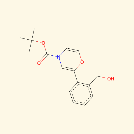 CC(C)(C)OC(=O)N1C=COC(c2ccccc2CO)=C1